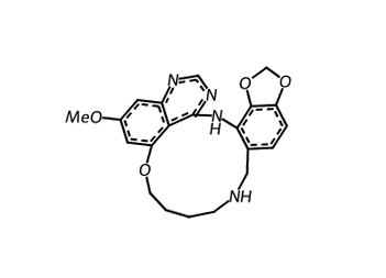 COc1cc2c3c(ncnc3c1)Nc1c(ccc3c1OCO3)CNCCCCO2